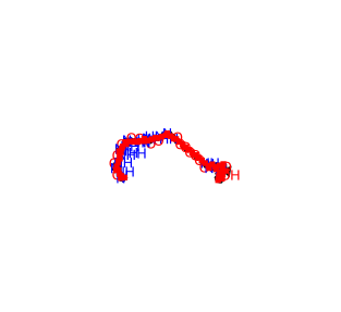 CC(=O)N1c2ccc(-c3cnc(C(=O)NCCOCCOCCOCCOCCOCCC(=O)NCCCN(C)CCCNC(=O)CCNC(=O)c4nc(NC(=O)CCNC(=O)c5cc(NC(=O)c6nc(NC(=O)CCNC(=O)c7cc(NC(=O)c8nccn8C)cn7C)cn6C)cn5C)cn4C)nc3)cc2N(Cc2ccccc2CO)C[C@@H]1C1CC1